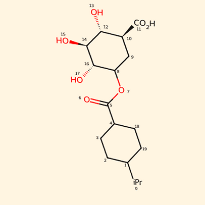 CC(C)C1CCC(C(=O)OC2C[C@H](C(=O)O)[C@@H](O)[C@H](O)[C@H]2O)CC1